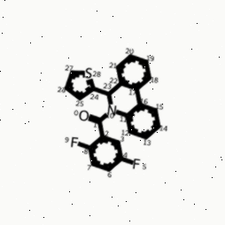 O=C(c1cc(F)ccc1F)N1c2ccccc2-c2ccccc2C1c1cccs1